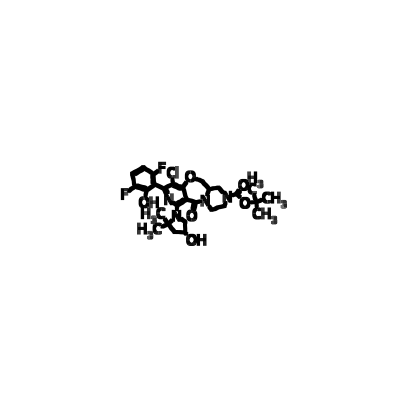 CC(C)(C)OC(=O)N1CCN2C(=O)c3c(N4CC(O)CC4(C)C)nc(-c4c(F)ccc(F)c4O)c(Cl)c3OCC2C1